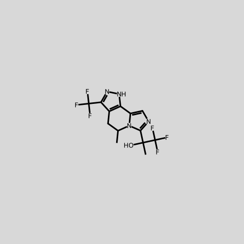 CC1Cc2c(C(F)(F)F)n[nH]c2-c2cnc(C(C)(O)C(F)(F)F)n21